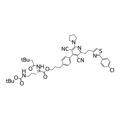 CC(C)(C)CC(=O)N[C@@H](CCCNC(=O)OC(C)(C)C)C(=O)OCCCc1ccc(-c2c(C#N)c(CCc3csc(-c4ccc(Cl)cc4)n3)nc(N3CCCC3)c2C#N)cc1